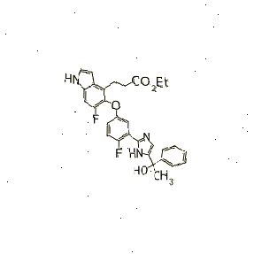 CCOC(=O)CCc1c(Oc2ccc(F)c(-c3ncc(C(C)(O)c4ccccc4)[nH]3)c2)c(F)cc2[nH]ccc12